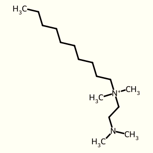 CCCCCCCCCC[N+](C)(C)CCN(C)C